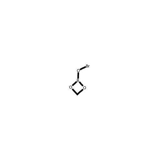 BrOB1OCO1